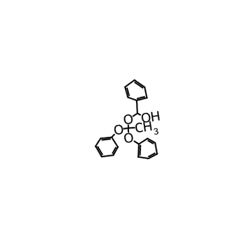 CC(Oc1ccccc1)(Oc1ccccc1)OC(O)c1ccccc1